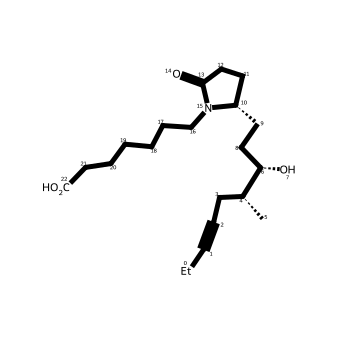 CCC#CC[C@@H](C)[C@@H](O)CC[C@H]1CCC(=O)N1CCCCCCC(=O)O